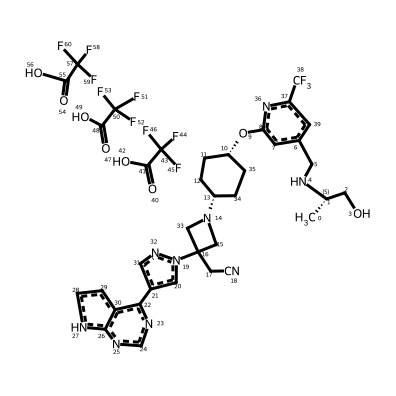 C[C@@H](CO)NCc1cc(O[C@H]2CC[C@@H](N3CC(CC#N)(n4cc(-c5ncnc6[nH]ccc56)cn4)C3)CC2)nc(C(F)(F)F)c1.O=C(O)C(F)(F)F.O=C(O)C(F)(F)F.O=C(O)C(F)(F)F